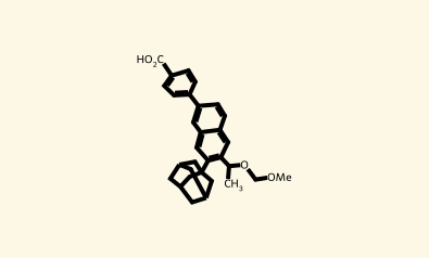 COCOC(C)c1cc2ccc(-c3ccc(C(=O)O)cc3)cc2cc1C12CC3CC(CC(C3)C1)C2